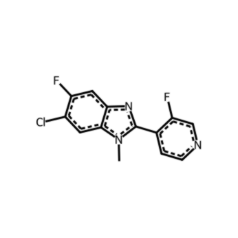 Cn1c(-c2ccncc2F)nc2cc(F)c(Cl)cc21